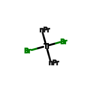 CC[CH2][Ti]([Br])([Br])[CH2]CC